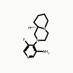 Nc1cncc(F)c1N1CCN2CCCC[C@@H]2C1